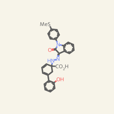 CSc1ccc(N2C(=O)C(=NNC3(C(=O)O)C=CC=C(c4ccccc4O)C3)c3ccccc32)cc1